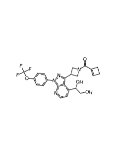 O=C(C1=CCC1)N1CC(c2nn(-c3ccc(OC(F)(F)F)cc3)c3nccc(C(O)CO)c23)C1